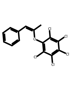 CC(=Cc1ccccc1)Oc1c(Cl)c(Cl)c(Cl)c(Cl)c1Cl